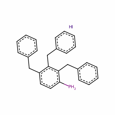 I.Pc1ccc(Cc2ccccc2)c(Cc2ccccc2)c1Cc1ccccc1